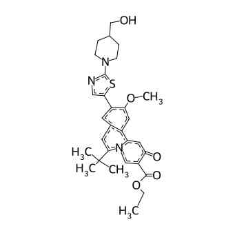 CCOC(=O)c1cn2c(C(C)(C)C)cc3cc(-c4cnc(N5CCC(CO)CC5)s4)c(OC)cc3c2cc1=O